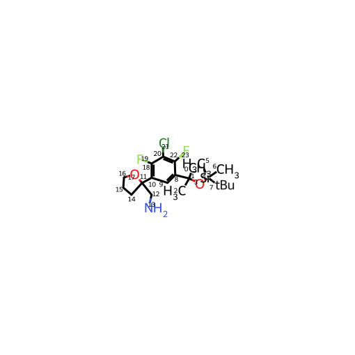 CC(C)(O[Si](C)(C)C(C)(C)C)c1cc(C2(CN)CCCO2)c(F)c(Cl)c1F